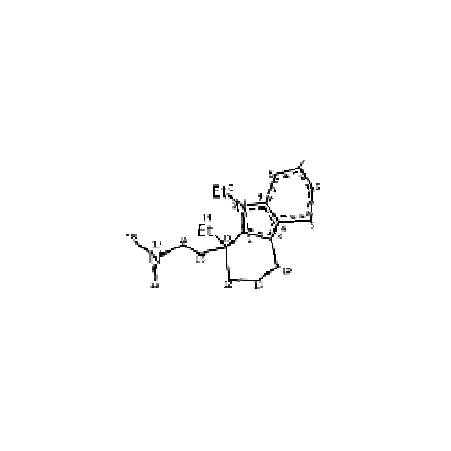 CCn1c2c(c3ccccc31)CCCC2(CC)CCN(C)C